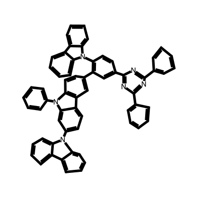 c1ccc(-c2nc(-c3ccccc3)nc(-c3ccc(-n4c5ccccc5c5ccccc54)c(-c4ccc5c(c4)c4ccc(-n6c7ccccc7c7ccccc76)cc4n5-c4ccccc4)c3)n2)cc1